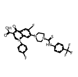 O=C(O)c1cn(-c2ccc(F)cc2)c2cc(N3CCN(C(=S)Nc4ccc(C(F)(F)F)cc4)CC3)c(F)cc2c1=O